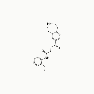 CCc1ccccc1NC(=O)CCC(=O)c1ccc2c(c1)CCNCC2